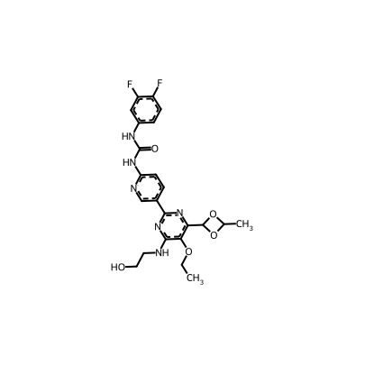 CCOc1c(NCCO)nc(-c2ccc(NC(=O)Nc3ccc(F)c(F)c3)nc2)nc1C1OC(C)O1